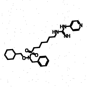 N=C(NCCCCCCS(=O)(=O)N(Cc1ccccc1)OCC1CCCCC1)Nc1ccncc1